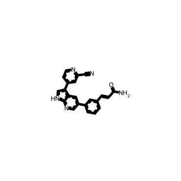 N#Cc1cc(-c2c[nH]c3ncc(-c4cccc(C=CC(N)=O)c4)cc23)ccn1